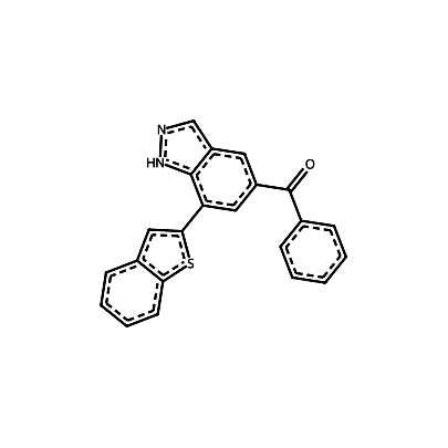 O=C(c1ccccc1)c1cc(-c2cc3ccccc3s2)c2[nH]ncc2c1